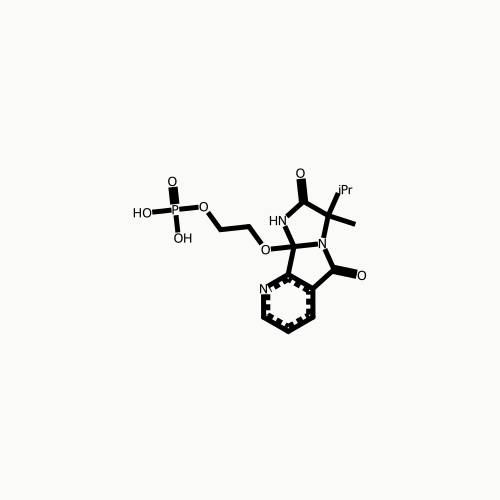 CC(C)C1(C)C(=O)NC2(OCCOP(=O)(O)O)c3ncccc3C(=O)N21